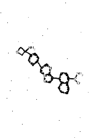 N[S+]([O-])c1ccc(-c2cnn3cc(-c4ccc(C5(N)COC5)cc4)cnc23)c2ccccc12